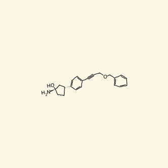 N[C@]1(O)CC[C@@H](c2ccc(C#CCOCc3ccccc3)cc2)C1